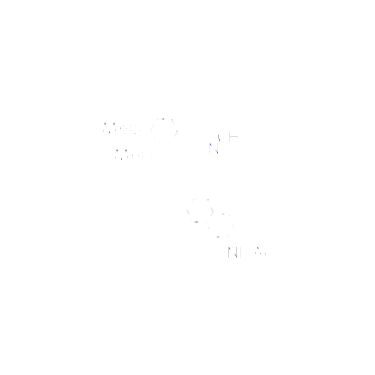 COc1ccc(CCN(C)CCCc2cccc3cc(NC(C)=O)ccc23)cc1OC